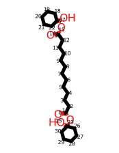 O=C(CCCCCCCCCCCC(=O)OC1(O)CCCCC1)OC1(O)CCCCC1